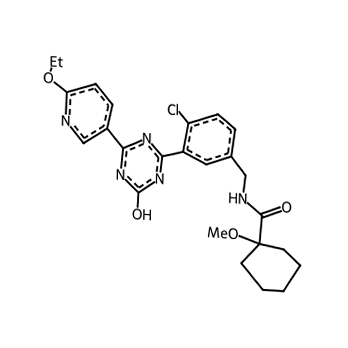 CCOc1ccc(-c2nc(O)nc(-c3cc(CNC(=O)C4(OC)CCCCC4)ccc3Cl)n2)cn1